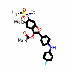 CCN(c1cc2oc(-c3ccc(Nc4ccc(F)cc4)cc3)c(OC(=O)NC)c2cc1OC)S(C)(=O)=O